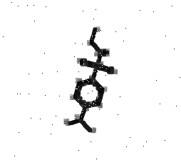 CCNS(=O)(=O)c1ccc(C(C)C)cc1